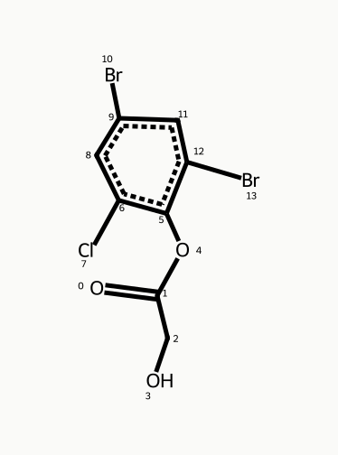 O=C(CO)Oc1c(Cl)cc(Br)cc1Br